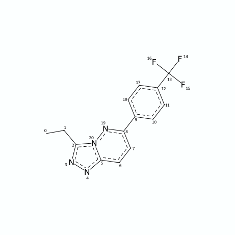 CCc1nnc2ccc(-c3ccc(C(F)(F)F)cc3)nn12